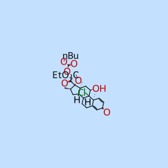 CCCCOC(=O)OCC(=O)[C@@]1(OC(=O)OCC)[C@H](C)C[C@H]2[C@@H]3CCC4=CC(=O)C=C[C@]4(C)[C@@]3(Cl)C(O)C[C@@]21C